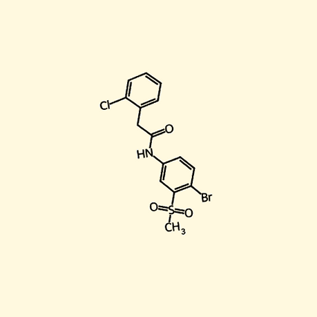 CS(=O)(=O)c1cc(NC(=O)Cc2ccccc2Cl)ccc1Br